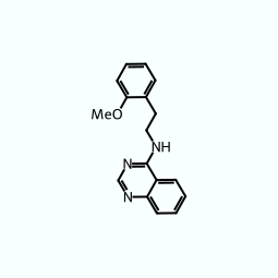 COc1ccccc1CCNc1ncnc2ccccc12